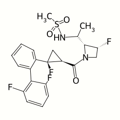 CC(NS(C)(=O)=O)[C@@H]1[C@H](F)CN1C(=O)[C@@H]1C[C@@]1(F)c1ccccc1-c1c(F)cccc1F